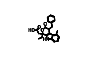 CCC1(CC(=O)O)OC(Cl)C(Cc2ccccc2)c2c1[nH]c1cccc(C)c21